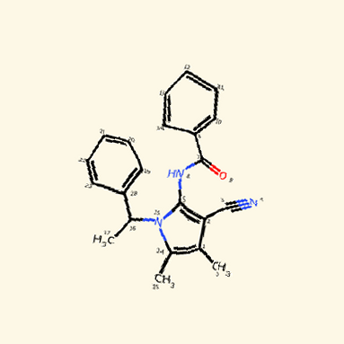 Cc1c(C#N)c(NC(=O)c2ccccc2)n(C(C)c2ccccc2)c1C